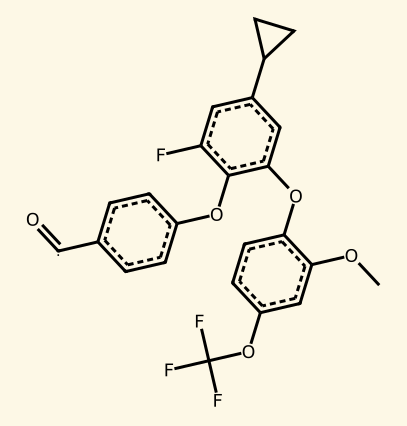 COc1cc(OC(F)(F)F)ccc1Oc1cc(C2CC2)cc(F)c1Oc1ccc([C]=O)cc1